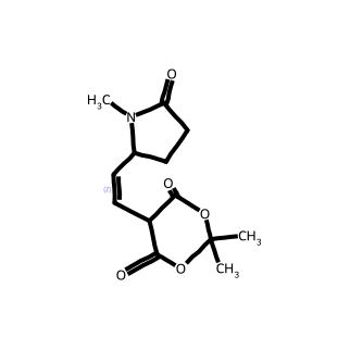 CN1C(=O)CCC1/C=C\C1C(=O)OC(C)(C)OC1=O